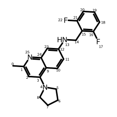 Cc1cc(N2CCCC2)c2ccc(NCc3c(F)cccc3F)cc2n1